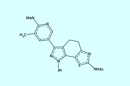 CNc1ncc(-c2nn(C(C)C)c3c2CCc2nc(NC(C)=O)sc2-3)cc1C